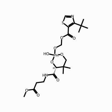 COC(=O)CCNC(=O)[C@@H]1O[PH](O)(OCOC(=O)c2scnc2C(C)(C)C)OCC1(C)C